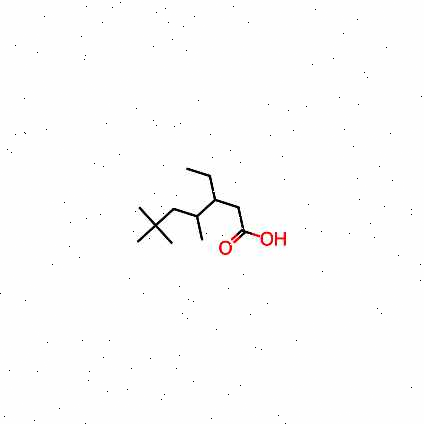 CCC(CC(=O)O)C(C)CC(C)(C)C